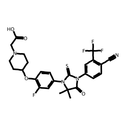 CC1(C)C(=O)N(c2ccc(C#N)c(C(F)(F)F)c2)C(=S)N1c1ccc(OC2CCN(CC(=O)O)CC2)c(F)c1